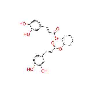 O=C(C=Cc1ccc(O)c(O)c1)OC1CCCCC1OC(=O)C=Cc1ccc(O)c(O)c1